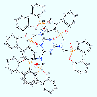 O=P1(CN(CP2(=O)Oc3ccccc3-c3ccccc32)c2nc(N(CP3(=O)Oc4ccccc4-c4ccccc43)CP3(=O)Oc4ccccc4-c4ccccc43)nc(N(CP3(=O)Oc4ccccc4-c4ccccc43)CP3(=O)Oc4ccccc4-c4ccccc43)n2)Oc2ccccc2-c2ccccc21